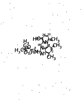 Cc1cc(C)c2nc(NCC3COC(C)(C)O3)n(Cc3nc(C)ccc3O)c2c1